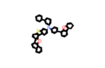 C1=Cc2oc3c(-c4ccc(N(c5cccc(-c6ccccc6)c5)c5ccc6c(c5)sc5ccc7c8ccc9ccccc9c8oc7c56)cc4)cccc3c2CC1